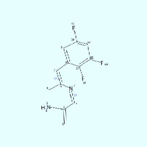 C=C(N)/C=N\C(C)=C/c1cc(F)cc(F)c1F